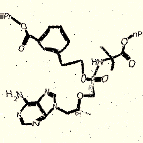 CCCOC(=O)C(C)(C)N[P@@](=O)(CO[C@H](C)Cn1cnc2c(N)ncnc21)OCCc1cccc(C(=O)OC(C)C)c1